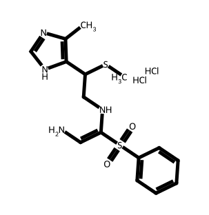 CSC(CNC(=CN)S(=O)(=O)c1ccccc1)c1[nH]cnc1C.Cl.Cl